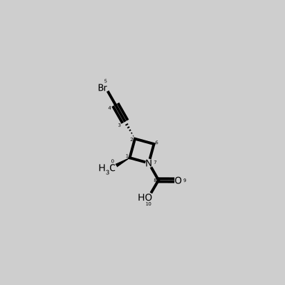 C[C@H]1[C@H](C#CBr)CN1C(=O)O